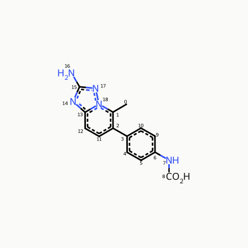 Cc1c(-c2ccc(NC(=O)O)cc2)ccc2nc(N)nn12